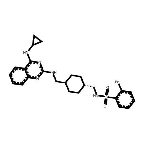 O=S(=O)(NC[C@H]1CC[C@H](CNc2nc(NC3CC3)c3ccccc3n2)CC1)c1ccccc1Br